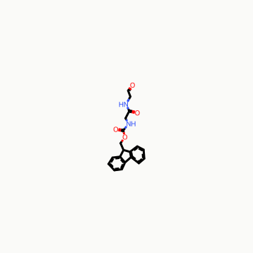 O=CCNC(=O)CNC(=O)OCC1c2ccccc2-c2ccccc21